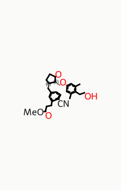 COC(=O)CCc1cc(C[C@H]2CCC(=O)[C@@H]2COc2cc(C)c(CCO)c(C)c2)ccc1C#N